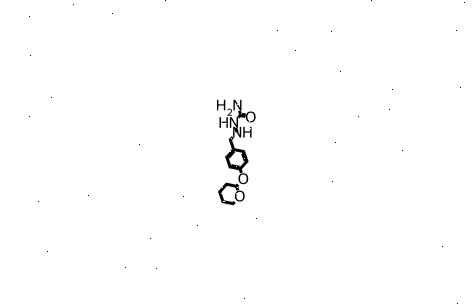 NC(=O)NNCc1ccc(OC2CCCCO2)cc1